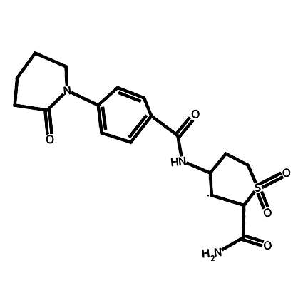 NC(=O)C1[CH]C(NC(=O)c2ccc(N3CCCCC3=O)cc2)CCS1(=O)=O